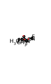 CC(C)(C)C1CC[C]1c1ccc(-c2nc3ccnc(COCc4ccnc(F)c4)c3cc2-c2ccccc2)cc1